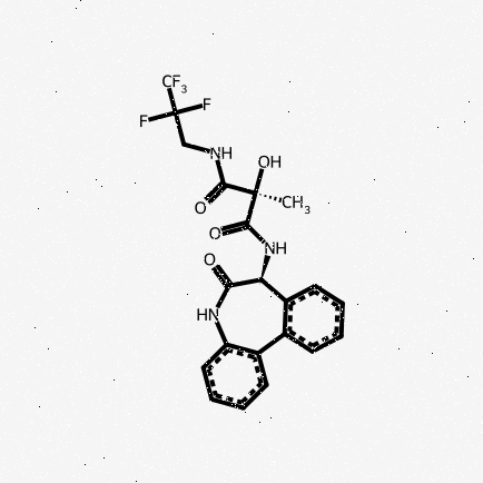 C[C@@](O)(C(=O)NCC(F)(F)C(F)(F)F)C(=O)N[C@@H]1C(=O)Nc2ccccc2-c2ccccc21